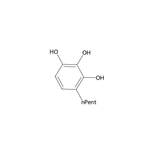 CCCCCc1ccc(O)c(O)c1O